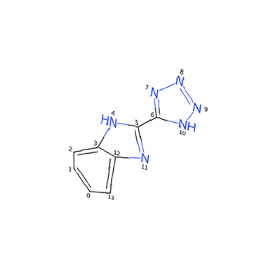 c1ccc2[nH]c(-c3nnn[nH]3)nc2c1